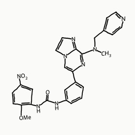 COc1ccc([N+](=O)[O-])cc1NC(=O)Nc1cccc(-c2cn3ccnc3c(N(C)Cc3ccncc3)n2)c1